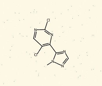 Cn1ncnc1-c1nc(Cl)ncc1Cl